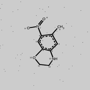 Cc1cc2c(cc1[N+](=O)[O-])OCCN2